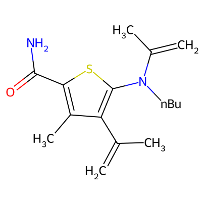 C=C(C)c1c(N(CCCC)C(=C)C)sc(C(N)=O)c1C